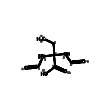 CCC(NC=O)(NC=O)C(=O)O